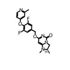 Cc1cc(Oc2c(F)cc(COc3cc4n(c(=O)n3)C[C@@H](C)N4C)cc2F)ccn1